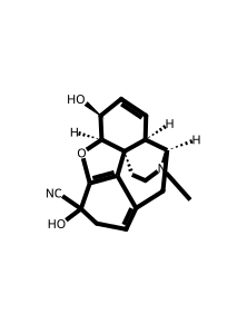 CN1CC[C@]23C4=C5O[C@H]2[C@@H](O)C=C[C@H]3[C@H]1CC4=CCC5(O)C#N